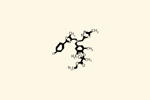 CCOC(=O)C(C)(C)Oc1c(C)cc(CN(Cc2nnc(C)o2)Cc2nc(-c3ccc(Cl)cc3)oc2C)cc1C